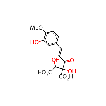 COc1ccc(C=CC(=O)C(O)(C(=O)O)C(O)C(=O)O)cc1O